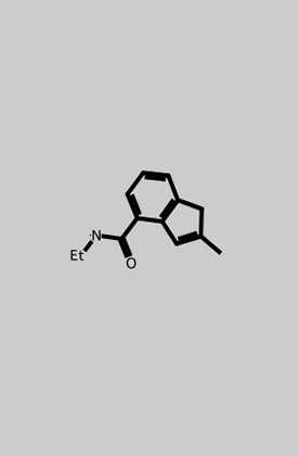 [CH2]C[N]C(=O)c1cccc2c1C=C(C)C2